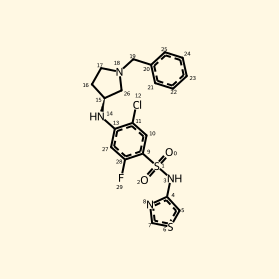 O=S(=O)(Nc1cscn1)c1cc(Cl)c(N[C@H]2CCN(Cc3ccccc3)C2)cc1F